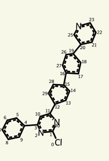 Clc1nc(-c2ccccc2)cc(-c2ccc(-c3ccc(-c4cccnc4)cc3)cc2)n1